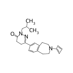 CC(C)CN1N=C(c2ccc3c(c2)CCN(C2=CC=C2)CC3)CCC1=O